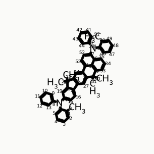 Cc1ccccc1N(c1ccccc1)c1ccc2c(c1)C(C)(C)c1cc3c(cc1-2)C(C)(C)c1cccc2c(N(c4ccccc4)c4ccccc4C)ccc-3c12